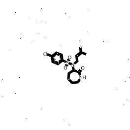 CC(C)=CCN(C1CCCCNC1=O)S(=O)(=O)c1ccc(Cl)cc1